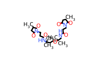 CC1CC(=O)N(CCC(=O)NCC(C)(C)OCCC(C)(C)NC(=O)CCN2C(=O)CC(C)C2=O)C1=O